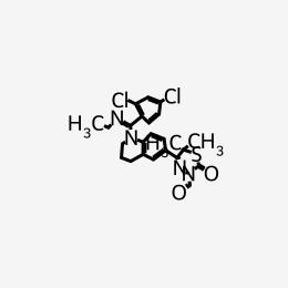 CC/N=C(/c1ccc(Cl)cc1Cl)N1CCCc2cc(C3=NN(C=O)C(=O)SC3(C)C)ccc21